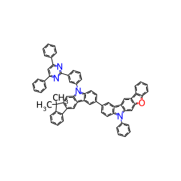 CC1(C)c2ccccc2-c2cc3c4cc(-c5ccc6c(c5)c5cc7c(cc5n6-c5ccccc5)oc5ccccc57)ccc4n(-c4cccc(-c5nc(-c6ccccc6)cc(-c6ccccc6)n5)c4)c3cc21